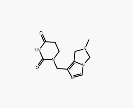 CN1Cc2c(CN3CCC(=O)NC3=O)ncn2C1